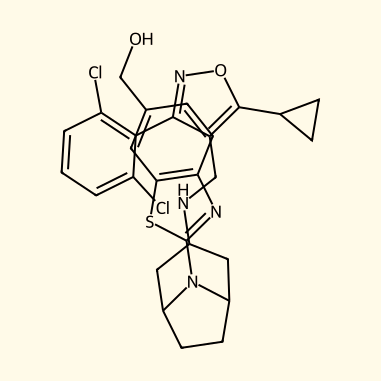 OCc1ccc2nc(N3C4CCC3CC(NCc3c(-c5c(Cl)cccc5Cl)noc3C3CC3)C4)sc2c1